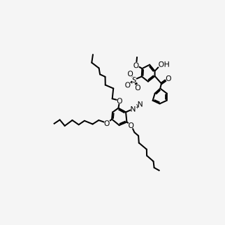 CCCCCCCCOc1cc(OCCCCCCCC)c([N+]#N)c(OCCCCCCCC)c1.COc1cc(O)c(C(=O)c2ccccc2)cc1S(=O)(=O)[O-]